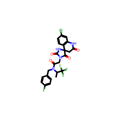 CC(N(Cc1ccc(F)cc1)C(=O)CN1C(=O)NC2(CC(=O)Nc3cc(Br)ccc32)C1=O)C(F)(F)F